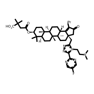 CC(C)C1=C2[C@H]3CC[C@@H]4[C@@]5(C)CC[C@H](OC(=O)CC(C)(C)C(=O)O)C(C)(C)[C@@H]5CC[C@@]4(C)[C@]3(C)CC[C@@]2(Cc2nnc(-c3ncc(F)cn3)n2CCN(C)C)CC1=O